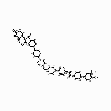 C[C@@H]1CN(C2CCN(c3ccc4c(c3)C(=O)N(C3CCC(=O)NC3=O)C4=O)CC2)CCN1CC1CCN(c2ccc(NC(=O)C3CCN(c4ccc(C#N)c(C(F)(F)F)c4)CC3)nc2)CC1